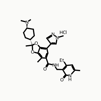 CCc1cc(C)[nH]c(=O)c1CNC(=O)c1cc(-c2cnn(C)c2)c2c(c1C)OC(C)([C@H]1CC[C@H](N(C)C)CC1)O2.Cl